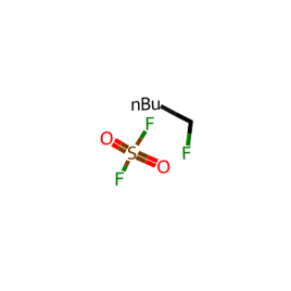 CCCCCF.O=S(=O)(F)F